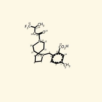 Cc1ccc(CN2CCCC23CCN(C(=O)OC(C)C(F)(F)F)CC3)c(C(=O)O)c1